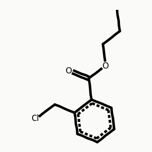 CCCOC(=O)c1ccccc1CCl